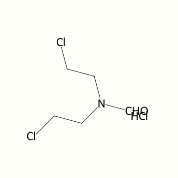 Cl.O=CN(CCCl)CCCl